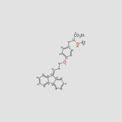 CCOC(=O)C(Cc1ccc(OCCC=C2c3ccccc3-c3ccccc32)cc1)OCC